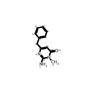 Cn1c(N)nc(Cc2ccccc2)cc1=O